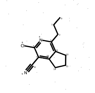 CCCc1nc(Cl)c(C#N)c2c1CCC2